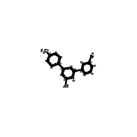 CCc1cc(-c2ccc(C(F)(F)F)cc2)cc(-c2cccc(Br)c2)n1